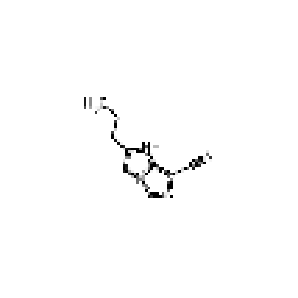 CCCc1cn2cnc(C#N)c2[nH]1